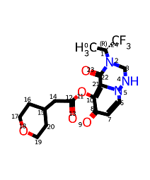 C[C@@H](N1CNn2ccc(=O)c(OC(=O)CC3CCOCC3)c2C1=O)C(F)(F)F